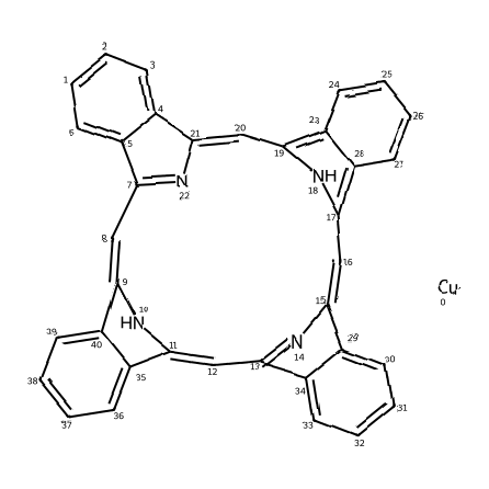 [Cu].c1ccc2c(c1)-c1cc3[nH]c(cc4nc(cc5[nH]c(cc-2n1)c1ccccc51)-c1ccccc1-4)c1ccccc31